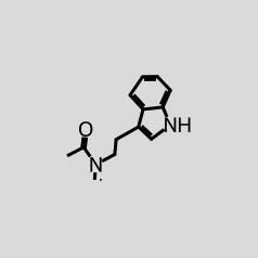 [CH2]N(CCc1c[nH]c2ccccc12)C(C)=O